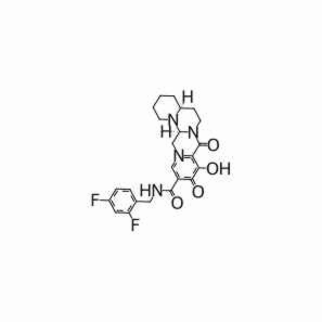 O=C(NCc1ccc(F)cc1F)c1cn2c(c(O)c1=O)C(=O)N1CC[C@@H]3CCCCN3[C@@H]1C2